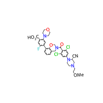 COCCN1CCN(c2cc(Cl)c(C(=O)N3COc4c(cccc4-c4cc(N5CCOCC5)c(C(=O)O)cc4F)C3)c(Cl)c2)C(C#N)C1